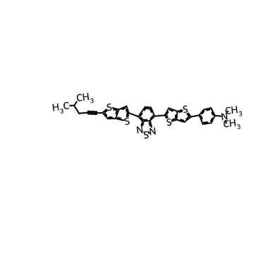 CC(C)CC#Cc1cc2sc(-c3ccc(-c4cc5sc(-c6ccc(N(C)C)cc6)cc5s4)c4nsnc34)cc2s1